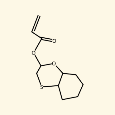 C=CC(=O)OC1CSC2CCCCC2O1